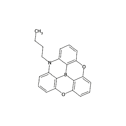 CCCCN1c2cccc3c2B2c4c(cccc4Oc4cccc1c42)O3